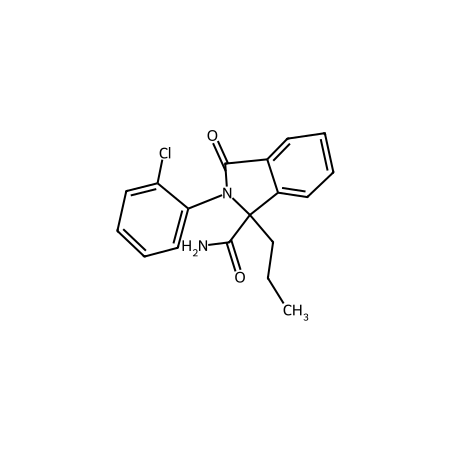 CCCC1(C(N)=O)c2ccccc2C(=O)N1c1ccccc1Cl